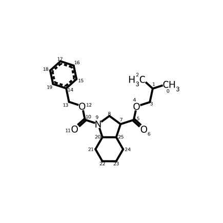 CC(C)COC(=O)C1CN(C(=O)OCc2ccccc2)C2CCCCC12